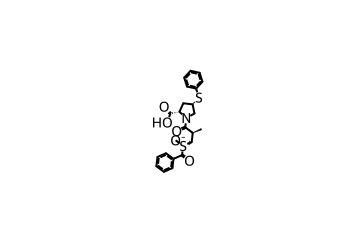 C[C@@H](C[S+]([O-])C(=O)c1ccccc1)C(=O)N1C[C@@H](Sc2ccccc2)C[C@H]1C(=O)O